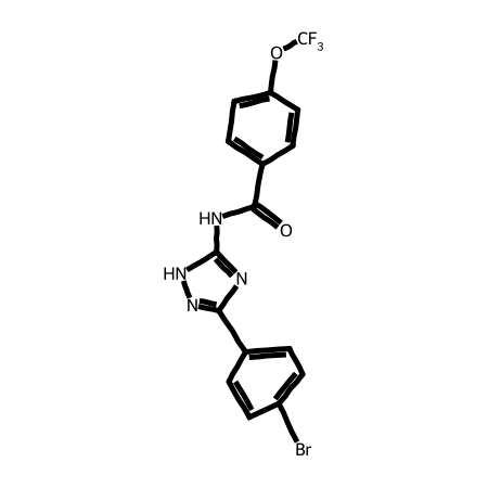 O=C(Nc1nc(-c2ccc(Br)cc2)n[nH]1)c1ccc(OC(F)(F)F)cc1